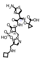 Nc1nc(/C(=N/OC2(C(=O)O)CC2)C(=O)N[C@@H]2C(=O)N(S(=O)(=O)O)[C@@H]2Cn2ncc(CNC3CCC3)n2)cs1